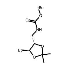 CC[C@@H]1OC(C)(C)O[C@H]1CNC(=O)OC(C)(C)C